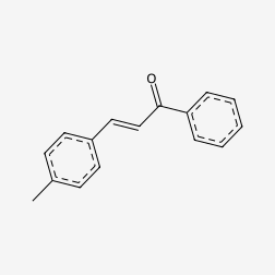 Cc1ccc(C=CC(=O)c2ccccc2)cc1